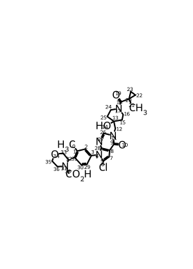 Cc1cc(-n2c(Cl)cc3c(=O)n(CC4(O)CCN(C(=O)C5(C)CC5)CC4)cnc32)ccc1[C@@H]1COCCN1C(=O)O